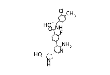 Cc1ccc([C@@H](CO)NC(=O)c2ccc(-c3cc([C@@H]4CN[C@H](CO)C4)cnc3N)cc2F)cc1Cl